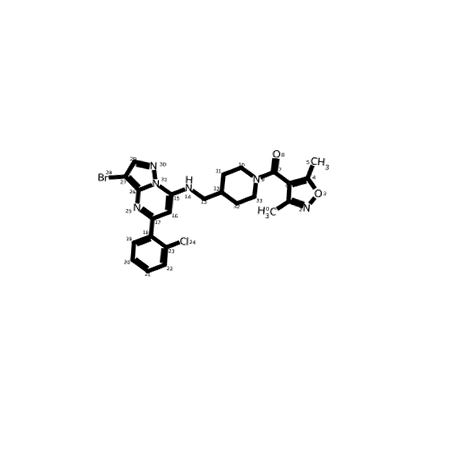 Cc1noc(C)c1C(=O)N1CCC(CNc2cc(-c3ccccc3Cl)nc3c(Br)cnn23)CC1